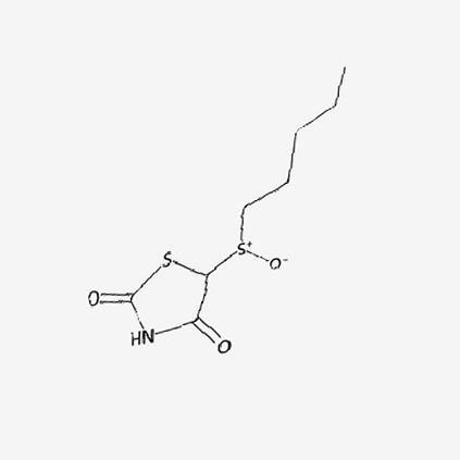 CCCCC[S+]([O-])C1SC(=O)NC1=O